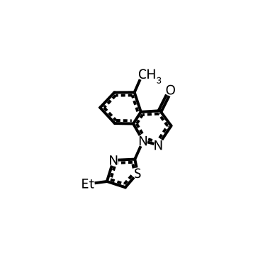 CCc1csc(-n2ncc(=O)c3c(C)cccc32)n1